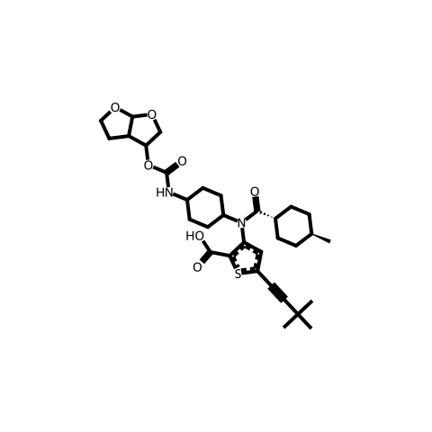 CC(C)(C)C#Cc1cc(N(C(=O)[C@H]2CC[C@H](C)CC2)C2CCC(NC(=O)OC3COC4OCCC34)CC2)c(C(=O)O)s1